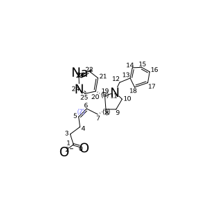 O=C([O-])CC/C=C\C[C@H]1CCN(Cc2ccccc2)[C@H]1c1cccnc1.[Na+]